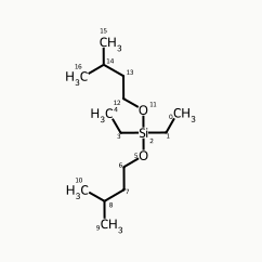 CC[Si](CC)(OCCC(C)C)OCCC(C)C